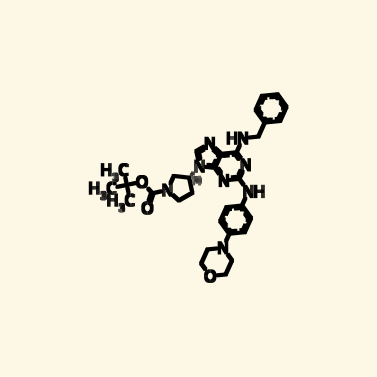 CC(C)(C)OC(=O)N1CC[C@@H](n2cnc3c(NCc4ccccc4)nc(Nc4ccc(N5CCOCC5)cc4)nc32)C1